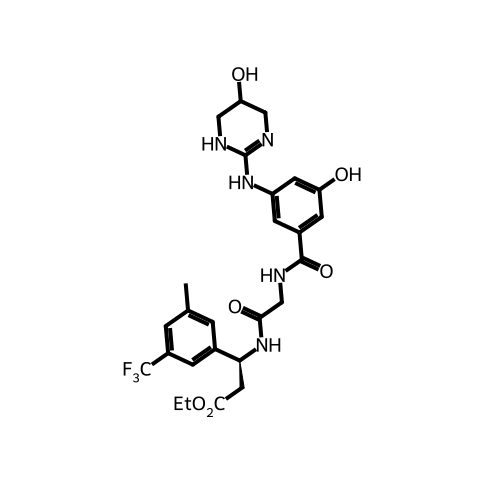 CCOC(=O)C[C@H](NC(=O)CNC(=O)c1cc(O)cc(NC2=NCC(O)CN2)c1)c1cc(C)cc(C(F)(F)F)c1